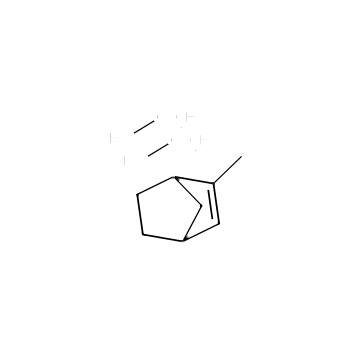 CC1=CC2CCC1C2.O=C(O)O.O=C(O)O